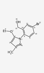 CCOc1cc(C)nn1-c1ccc(Br)cc1CO